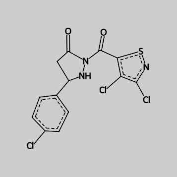 O=C1CC(c2ccc(Cl)cc2)NN1C(=O)c1snc(Cl)c1Cl